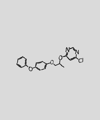 CC(COc1ccc(Oc2ccccc2)cc1)Oc1cc(Cl)ncn1